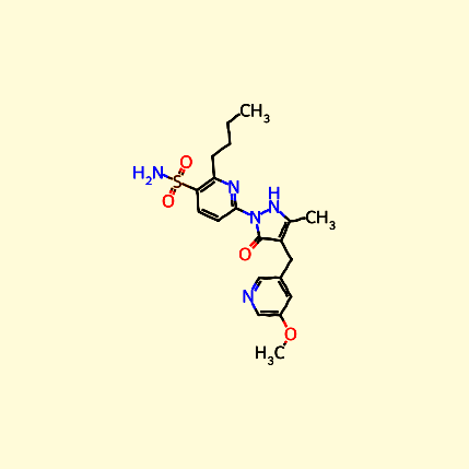 CCCCc1nc(-n2[nH]c(C)c(Cc3cncc(OC)c3)c2=O)ccc1S(N)(=O)=O